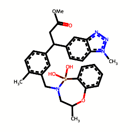 COC(=O)CC(c1ccc(C)c(CN2CC(C)Oc3ccccc3S2(O)O)c1)c1ccc2c(c1)nnn2C